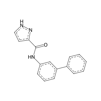 O=C(Nc1cccc(-c2ccccc2)c1)c1cc[nH]n1